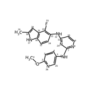 COc1ccc(Nc2nccc(Nc3ccc4[nH]c(C)cc4c3F)n2)cn1